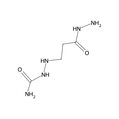 NNC(=O)CCNNC(N)=O